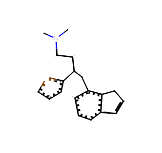 CN(C)CCC(Cc1cccc2c1CC=C2)c1cccs1